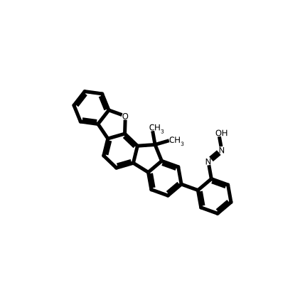 CC1(C)c2cc(-c3ccccc3/N=N/O)ccc2-c2ccc3c(oc4ccccc43)c21